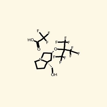 O=C(O)C(F)(F)F.OC[C@]12CCCN1C[C@H](OC(C(F)(F)F)(C(F)(F)F)C(F)(F)F)C2